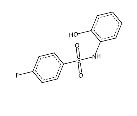 O=S(=O)(Nc1ccccc1O)c1ccc(F)cc1